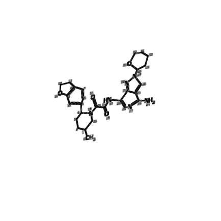 CC1CCC(c2ccc3c(c2)OCC3)N(C(=O)C(=O)Nc2cnc(N)c3cn(C4CCCCO4)nc23)C1